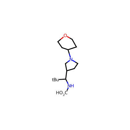 CC(C)(C)C(NC(=O)O)C1CCN(C2CCOCC2)C1